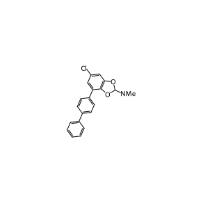 CNC1Oc2cc(Cl)cc(-c3ccc(-c4ccccc4)cc3)c2O1